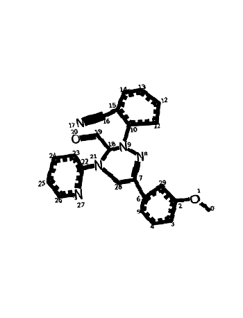 COc1cccc(C2=NN(c3ccccc3C#N)C(C=O)N(c3ccccn3)C2)c1